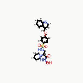 O=C(NO)C(CNS(=O)(=O)c1ccc(OCc2ccnc3ccccc23)cc1)N1CCCCC1